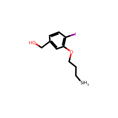 OCc1ccc(I)c(OCCC[SiH3])c1